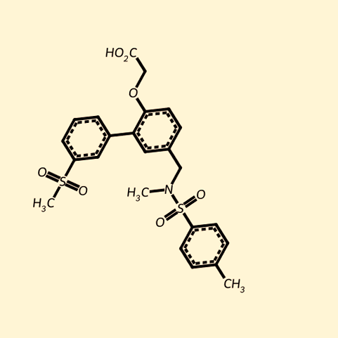 Cc1ccc(S(=O)(=O)N(C)Cc2ccc(OCC(=O)O)c(-c3cccc(S(C)(=O)=O)c3)c2)cc1